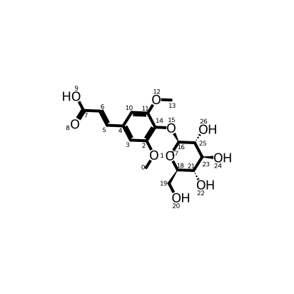 COc1cc(/C=C/C(=O)O)cc(OC)c1O[C@@H]1O[C@H](CO)[C@@H](O)[C@H](O)[C@H]1O